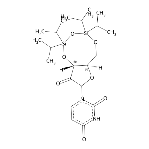 CC(C)[Si]1(C(C)C)OC[C@H]2OC(n3ccc(=O)[nH]c3=O)C(=O)[C@@H]2O[Si](C(C)C)(C(C)C)O1